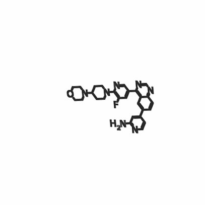 Nc1cc(-c2ccc3ncnc(-c4cnc(N5CCC(N6CCOCC6)CC5)c(F)c4)c3c2)ccn1